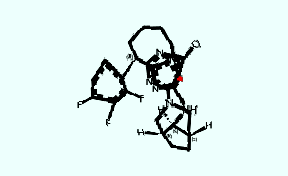 Fc1ccc([C@H]2CCCCn3nc(N[C@@H]4[C@@H]5CC[C@H]4CN(c4cc(Cl)ncn4)C5)nc32)c(F)c1F